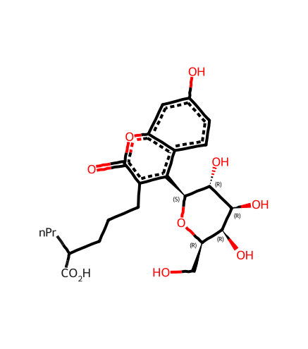 CCCC(CCCc1c([C@@H]2O[C@H](CO)[C@H](O)[C@H](O)[C@H]2O)c2ccc(O)cc2oc1=O)C(=O)O